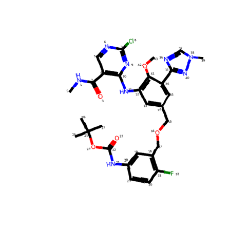 CNC(=O)c1cnc(Cl)nc1Nc1cc(COCc2cc(NC(=O)OC(C)(C)C)ccc2F)cc(-c2ncn(C)n2)c1OC